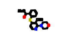 COC(=O)c1ccccc1Sc1ccnc(N2CCOCC2)c1C=O